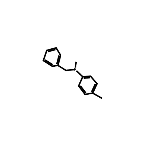 Cc1ccc(P(C)Cc2ccccc2)cc1